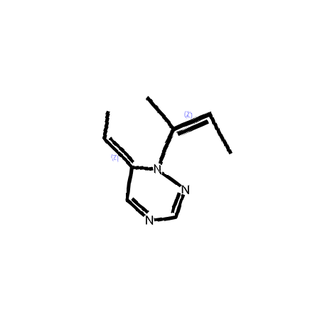 C/C=C(/C)N1N=CN=C/C1=C/C